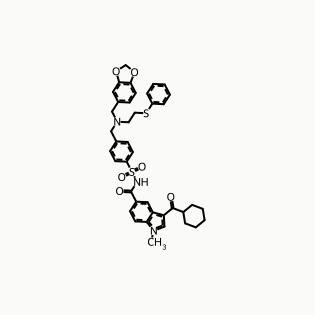 Cn1cc(C(=O)C2CCCCC2)c2cc(C(=O)NS(=O)(=O)c3ccc(CN(CCSc4ccccc4)Cc4ccc5c(c4)OCO5)cc3)ccc21